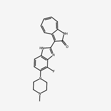 CN1CCN(c2ccc3[nH]c(-c4c5cccccc-5[nH]c4=O)nc3c2F)CC1